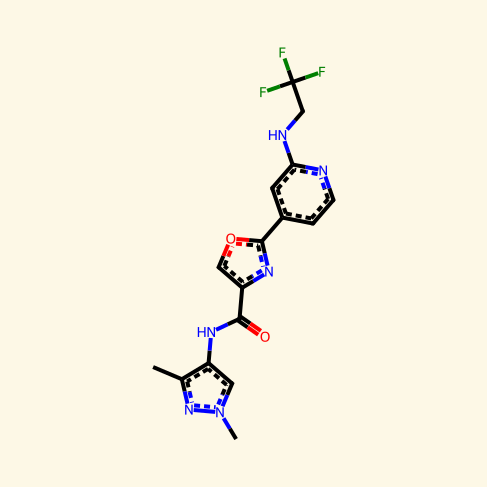 Cc1nn(C)cc1NC(=O)c1coc(-c2ccnc(NCC(F)(F)F)c2)n1